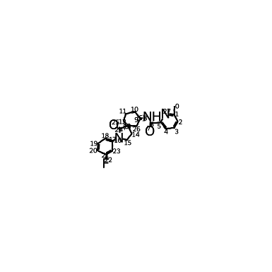 Cc1cccc(C(=O)N[C@H]2CCC[C@]3(CCN(c4cccc(F)c4)C3=O)C2)n1